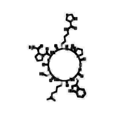 CN(C)CCCC[C@@H]1NC(=O)[C@H](CS)SC(=O)C[C@@H](C(=O)N2CCC[C@H]2C(N)=O)NC(=O)[C@H](CCCCNC(=O)C2CSCN2)NC(=O)[C@@H]2CCCN2C(=O)COC(=O)[C@H](Cc2c[nH]c3ccccc23)NC1=O